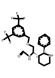 O=CNC(COCc1cc(C(F)(F)F)cc(C(F)(F)F)c1)[C@H]1CCCN[C@@H]1c1ccccc1